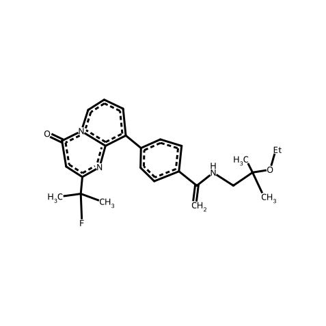 C=C(NCC(C)(C)OCC)c1ccc(-c2cccn3c(=O)cc(C(C)(C)F)nc23)cc1